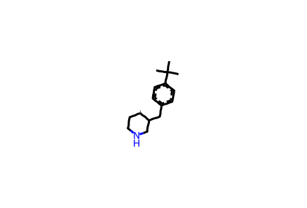 CC(C)(C)c1ccc(CC2[CH]CCNC2)cc1